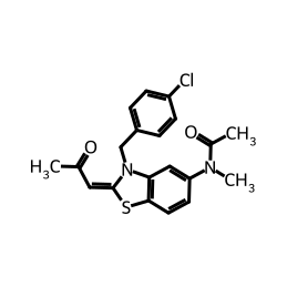 CC(=O)C=C1Sc2ccc(N(C)C(C)=O)cc2N1Cc1ccc(Cl)cc1